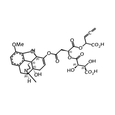 C=C=CC(OC(=O)[C@H](CC(=O)OC1=CC[C@@]2(O)[C@H]3Cc4ccc(OC)c5c4[C@@]2(CCN3C)[C@H]1O5)OC(=O)[C@H](O)[C@@H](O)C(=O)O)C(=O)O